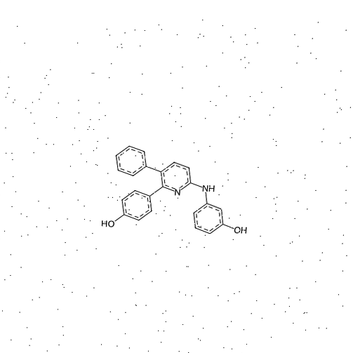 Oc1ccc(-c2nc(Nc3cccc(O)c3)ccc2-c2ccccc2)cc1